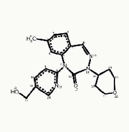 Cc1ccc2c(c1)N(c1ccc(CO)cn1)C(=O)N(C1CCOCC1)N=C2